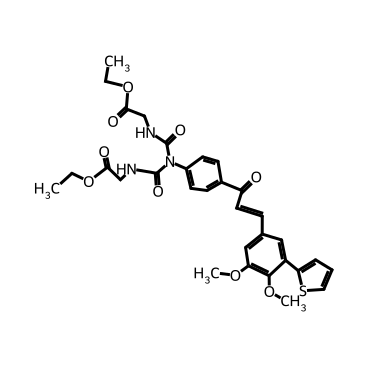 CCOC(=O)CNC(=O)N(C(=O)NCC(=O)OCC)c1ccc(C(=O)C=Cc2cc(OC)c(OC)c(-c3cccs3)c2)cc1